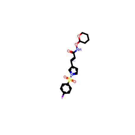 O=C(/C=C/c1ccn(S(=O)(=O)c2ccc(I)cc2)c1)NOC1CCCCO1